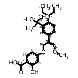 CCN(CC)c1ccc(C(COc2ccc(C(=O)O)c(O)c2)=NOC)cc1C(C)(C)C